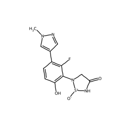 Cn1cc(-c2ccc(O)c(N3CC(=O)N[S+]3[O-])c2F)cn1